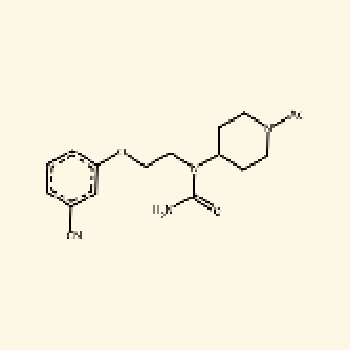 CC(=O)N1CCC(N(CCOc2cccc(C#N)c2)C(N)=O)CC1